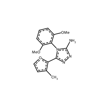 COc1cccc(OC)c1-n1c(N)nnc1-c1occc1C